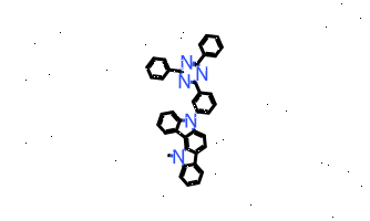 Cn1c2ccccc2c2ccc3c(c4ccccc4n3-c3cccc(-c4nc(-c5ccccc5)nc(-c5ccccc5)n4)c3)c21